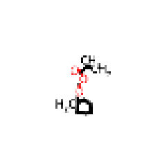 C=C(C)C(=O)OCOCC1(C)CCCCC1